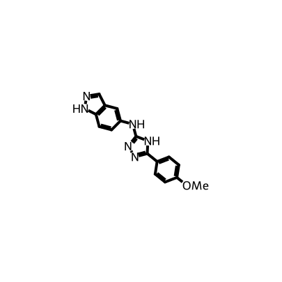 COc1ccc(-c2nnc(Nc3ccc4[nH]ncc4c3)[nH]2)cc1